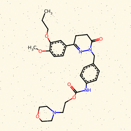 CCCOc1cc(C2=NN(Cc3ccc(NC(=O)OCCN4CCOCC4)cc3)C(=O)CC2)ccc1OC